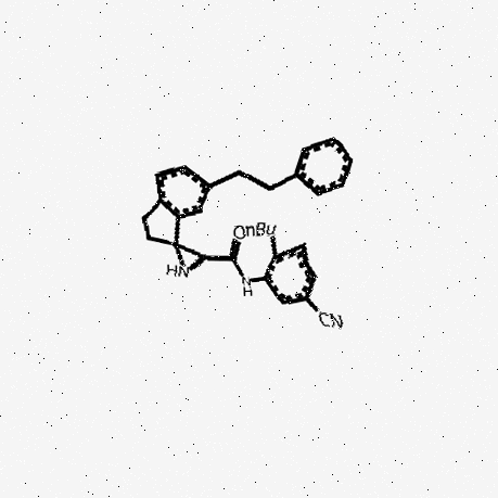 CCCCc1ccc(C#N)cc1NC(=O)C1NC12CCc1ccc(CCc3ccccc3)cc12